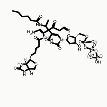 CCCCCC(=O)NC(C)C(C(=O)CC=S)(C(=CN)NC(=O)CCCC[C@@H]1SC[C@@H]2NC(=O)N[C@@H]21)c1cn([C@H]2C[C@H](O)[C@@H](COP(=O)(O)OP(=O)(O)OP(=O)(O)O)O2)c(=O)[nH]c1=O